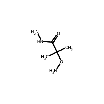 CC(C)(ON)C(=O)NN